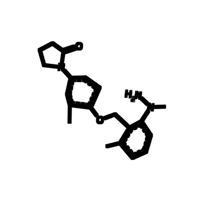 Cc1cc(N2CCCC2=O)ccc1OCc1c(C)cccc1N(C)N